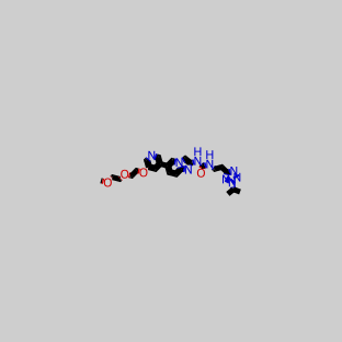 COCCOCCOc1cncc(-c2ccc3nc(NC(=O)NCCc4nnn(C(C)C)n4)cn3c2)c1